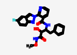 CONC(=O)C(O)C(Cc1ccccc1)NC(=O)c1cccnc1-n1cc2cc(F)ccc2n1